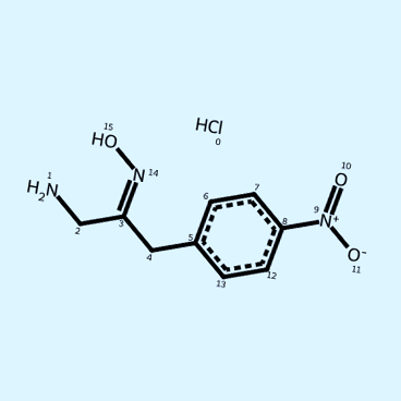 Cl.NCC(Cc1ccc([N+](=O)[O-])cc1)=NO